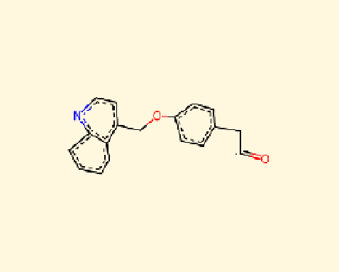 O=[C]Cc1ccc(OCc2ccnc3ccccc23)cc1